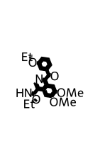 CCOC(=N)c1cnc(C(=O)c2cccc(OCC)c2)c2cc(OC)c(OC)cc12